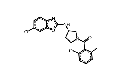 Cc1cccc(Cl)c1C(=O)N1CC[C@@H](Nc2nc3ccc(Cl)cc3o2)C1